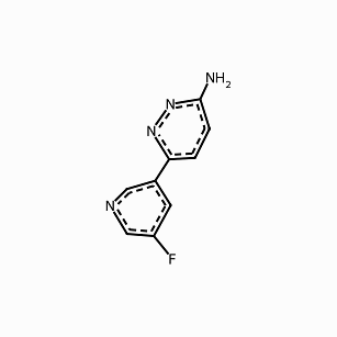 Nc1ccc(-c2cncc(F)c2)nn1